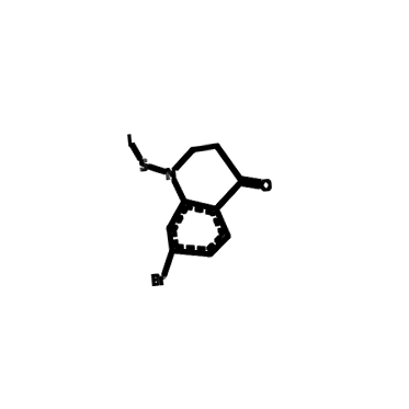 O=C1CCN(SI)c2cc(Br)ccc21